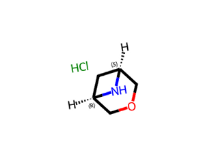 C1OC[C@H]2C[C@@H]1N2.Cl